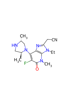 CCn1c(CC#N)nc2c(N3C[C@@H](C)NC[C@@H]3C)c(F)c(=O)n(C)c21